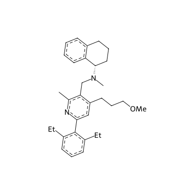 CCc1cccc(CC)c1-c1cc(CCCOC)c(CN(C)[C@H]2CCCc3ccccc32)c(C)n1